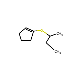 CCC(C)SC1=CCCC1